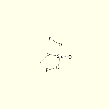 [O]=[Sb]([O]F)([O]F)[O]F